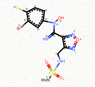 CNS(=O)(=O)NCc1nonc1C(=N)N(O)c1ccc(F)c(Br)c1